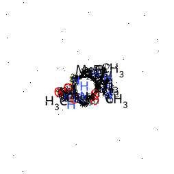 CCn1c(-c2cc(N3CCN(C)CC3)cnc2[C@H](C)OC)c2c3cc(ccc31)-c1csc(n1)C[C@H](NC(=O)C1(N(C)C)COC1)C(=O)N1CCC[C@H](N1)C(=O)OCC(C)(C)C2